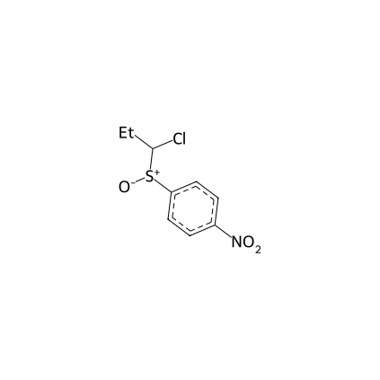 CCC(Cl)[S+]([O-])c1ccc([N+](=O)[O-])cc1